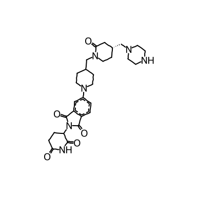 O=C1CCC(N2C(=O)c3ccc(N4CCC(CN5CC[C@@H](CN6CCNCC6)CC5=O)CC4)cc3C2=O)C(=O)N1